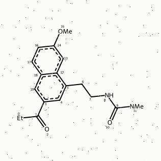 CCC(=O)c1cc(CCNC(=O)NC)c2cc(OC)ccc2c1